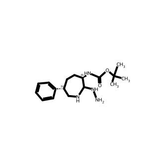 CC(C)(C)OC(=O)N[C@@H]1CC[C@@H](c2ccccc2)CNC1NN